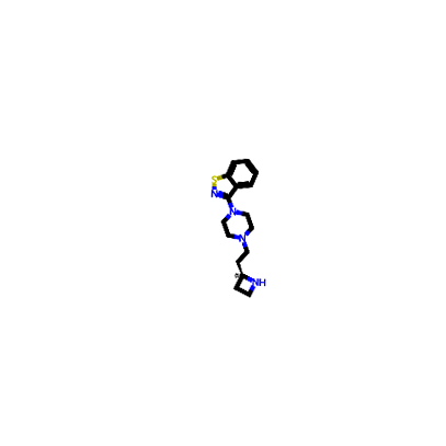 c1ccc2c(N3CCN(CC[C@@H]4CCN4)CC3)nsc2c1